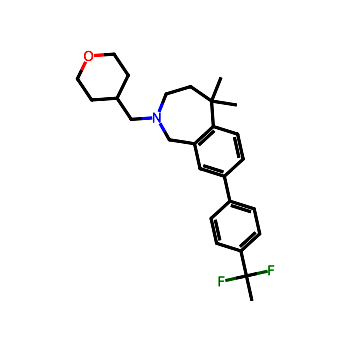 CC(F)(F)c1ccc(-c2ccc3c(c2)CN(CC2CCOCC2)CCC3(C)C)cc1